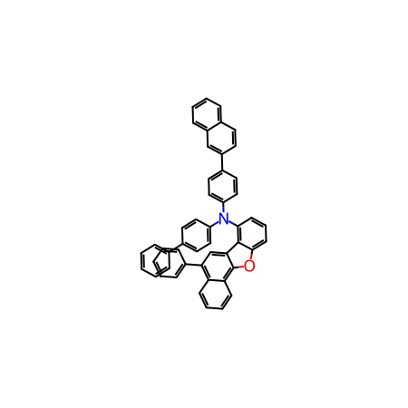 c1ccc(-c2ccc(N(c3ccc(-c4ccc5ccccc5c4)cc3)c3cccc4oc5c6ccccc6c(-c6ccccc6)cc5c34)cc2)cc1